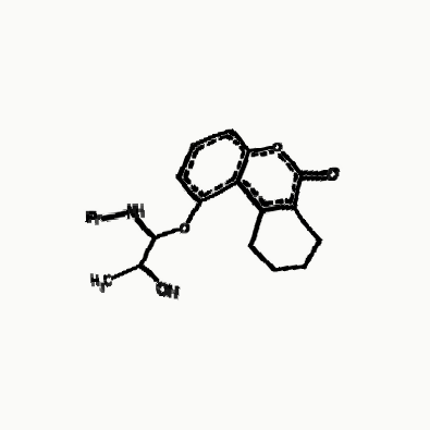 CC(C)NC(Oc1cccc2oc(=O)c3c(c12)CCCC3)C(C)O